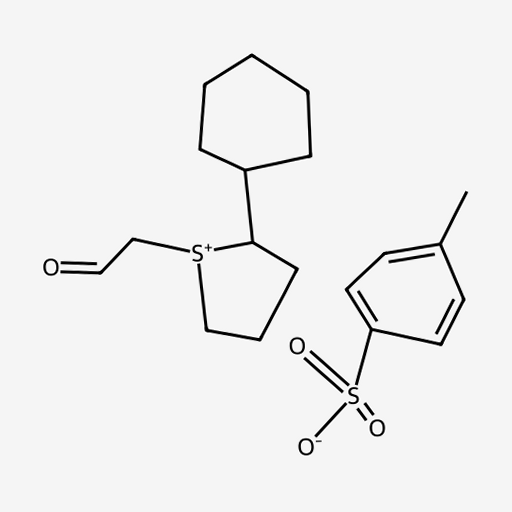 Cc1ccc(S(=O)(=O)[O-])cc1.O=CC[S+]1CCCC1C1CCCCC1